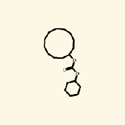 O=C(OC1CCCCCCCCCCC1)OC1CCCCC1